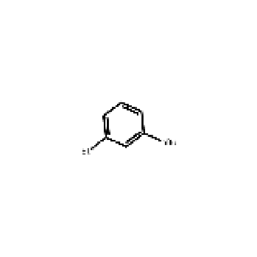 C[CH]c1cccc(CCCC)c1